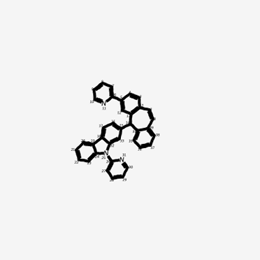 C1=Cc2ccc(-c3ccccn3)cc2C(c2ccc3c4ccccc4n(-c4ccccn4)c3c2)c2ccccc21